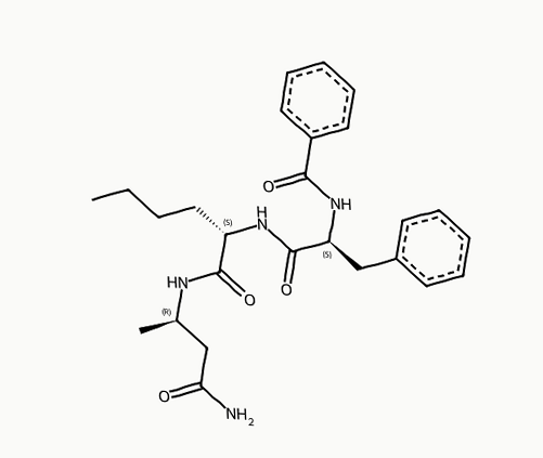 CCCC[C@H](NC(=O)[C@H](Cc1ccccc1)NC(=O)c1ccccc1)C(=O)N[C@H](C)CC(N)=O